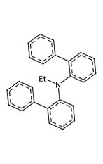 CCN(c1ccccc1-c1ccccc1)c1ccccc1-c1ccccc1